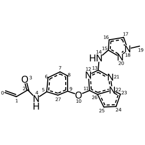 C=CC(=O)Nc1cccc(Oc2nc(Nc3ccn(C)n3)nn3cccc23)c1